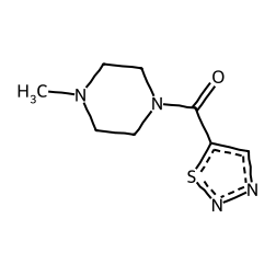 CN1CCN(C(=O)c2cnns2)CC1